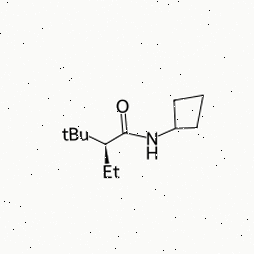 CC[C@H](C(=O)NC1CCC1)C(C)(C)C